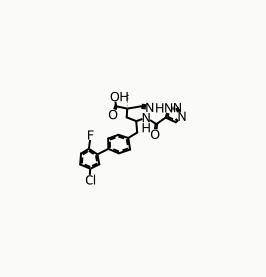 C[C@](C#N)(CC(Cc1ccc(-c2cc(Cl)ccc2F)cc1)NC(=O)c1cnn[nH]1)C(=O)O